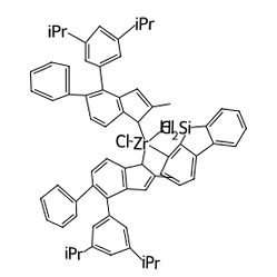 CC1=Cc2c(ccc(-c3ccccc3)c2-c2cc(C(C)C)cc(C(C)C)c2)[CH]1[Zr]([Cl])([Cl])([c]1cccc2c1[SiH2]c1ccccc1-2)[CH]1C(C)=Cc2c1ccc(-c1ccccc1)c2-c1cc(C(C)C)cc(C(C)C)c1